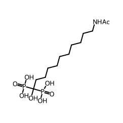 CC(=O)NCCCCCCCCCCC(O)(P(=O)(O)O)P(=O)(O)O